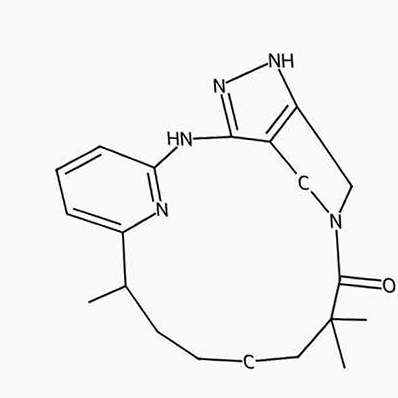 CC1CCCCC(C)(C)C(=O)N2Cc3[nH]nc(c3C2)Nc2cccc1n2